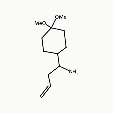 C=CCC(N)C1CCC(OC)(OC)CC1